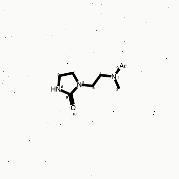 CC(=O)N(C)CCN1CCNC1=O